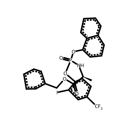 C[C@H](NP(=O)(Oc1ccc(C(F)(F)F)cc1I)Oc1cccc2ccccc12)C(=O)OCc1ccccc1